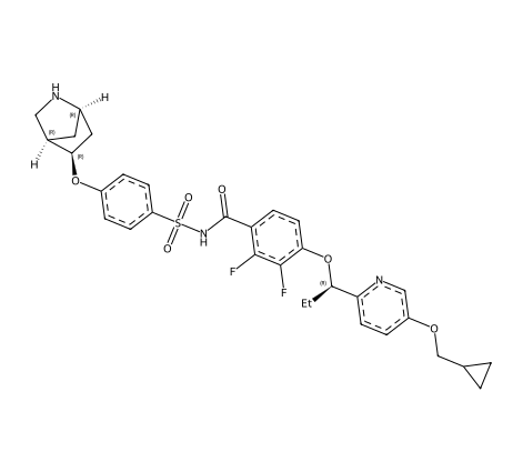 CC[C@@H](Oc1ccc(C(=O)NS(=O)(=O)c2ccc(O[C@@H]3C[C@H]4C[C@@H]3CN4)cc2)c(F)c1F)c1ccc(OCC2CC2)cn1